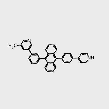 Cc1cncc(-c2cccc(-c3c4ccccc4c(-c4ccc(C5=CCNC=C5)cc4)c4ccccc34)c2)c1